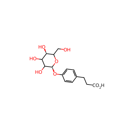 O=C(O)CCc1ccc(O[C@@H]2OC(CO)[C@H](O)C(O)C2O)cc1